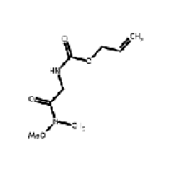 C=CCOC(=O)NCC(=O)N(C)OC